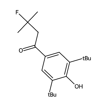 CC(C)(F)CC(=O)c1cc(C(C)(C)C)c(O)c(C(C)(C)C)c1